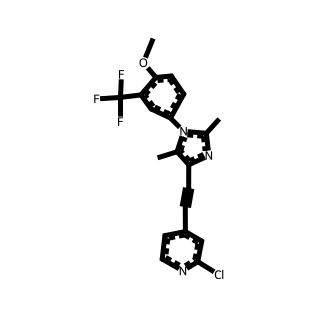 COc1ccc(-n2c(C)nc(C#Cc3ccnc(Cl)c3)c2C)cc1C(F)(F)F